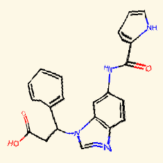 O=C(O)CC(c1ccccc1)n1cnc2ccc(NC(=O)c3ccc[nH]3)cc21